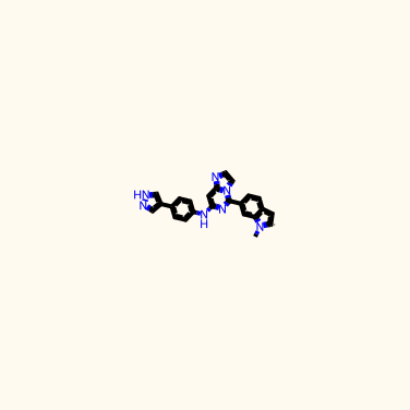 Cn1[c]cc2ccc(-c3nc(Nc4ccc(-c5cn[nH]c5)cc4)cc4nccn34)cc21